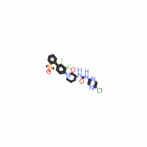 CP(C)(=O)c1ccccc1-c1ccc(N2CCC[C@@H](NC(=O)Nc3cnc(Cl)cn3)C2=O)c(F)c1F